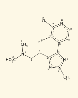 CN(CCc1nn(C)nc1-c1ccnc(Cl)c1F)C(=O)O